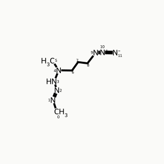 CN=NNN(C)CCCN=[N+]=[N-]